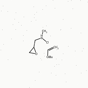 C=COCC(C)C.C[SiH](Cl)CC1CO1